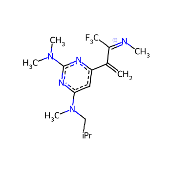 C=C(/C(=N\C)C(F)(F)F)c1cc(N(C)CC(C)C)nc(N(C)C)n1